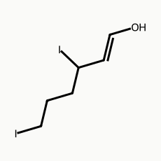 OC=CC(I)CCCI